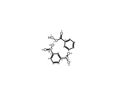 O=C(OO)c1ccccc1.O=[N+]([O-])c1cccc([N+](=O)[O-])c1